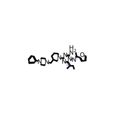 CC/C(C)=C1/N=C(N2CCCC(CN3CCN(c4ccccc4)CC3)C2)N=C(N)N1/N=C(\C)c1ccco1